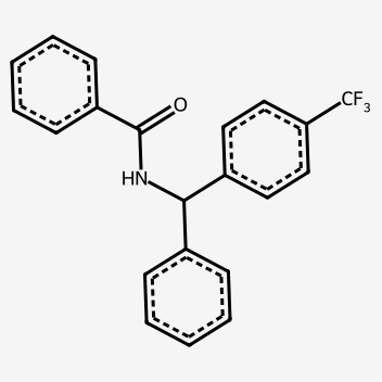 O=C(NC(c1ccccc1)c1ccc(C(F)(F)F)cc1)c1ccccc1